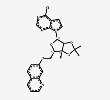 CC1(C)OC2[C@H](n3ccc4c(Cl)ncnc43)O[C@H](COc3ccc4cccnc4c3)[C@@]2(C)O1